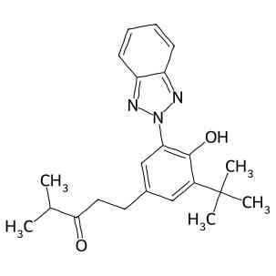 CC(C)C(=O)CCc1cc(-n2nc3ccccc3n2)c(O)c(C(C)(C)C)c1